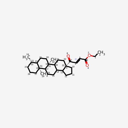 CCOC(=O)/C=C/C(=O)[C@]12CCCC1C1CCC3[C@@](C)(CCC4[C@@H](C)CCC[C@@]43C)C1CC2